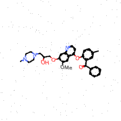 COc1cc2c(Oc3ccc(C)cc3C(=O)c3ccccc3)ccnc2cc1OCC(O)CN1CCN(C)CC1